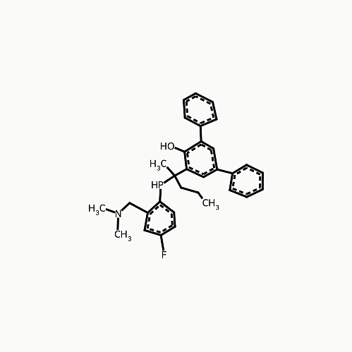 CCCC(C)(Pc1ccc(F)cc1CN(C)C)c1cc(-c2ccccc2)cc(-c2ccccc2)c1O